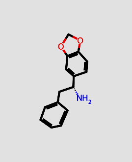 N[C@H](Cc1ccccc1)c1ccc2c(c1)OCO2